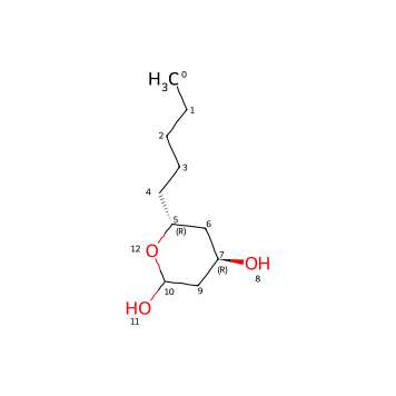 CCCCC[C@@H]1C[C@@H](O)CC(O)O1